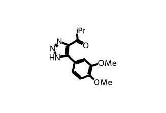 COc1ccc(-c2[nH]nnc2C(=O)C(C)C)cc1OC